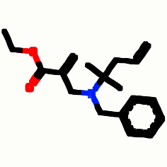 C=CCC(C)(C)N(CC(=C)C(=O)OCC)Cc1ccccc1